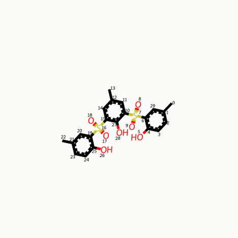 Cc1ccc(O)c(S(=O)(=O)c2cc(C)cc(S(=O)(=O)c3cc(C)ccc3O)c2O)c1